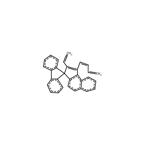 C=C/C=C\C1=C(C=C)C2(c3ccccc3-c3ccccc32)c2ccc3ccccc3c21